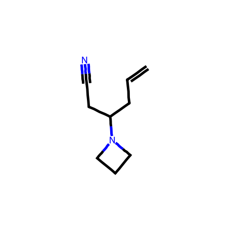 C=CCC(CC#N)N1CCC1